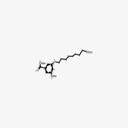 CCCCCCCCCCCCCCCCCCOc1cc(SC)cc(C(=O)OC)c1